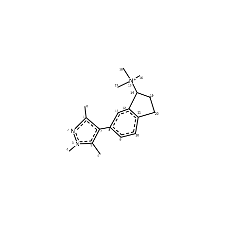 Cc1nn(C)c(C)c1-c1ccc2c(c1)C([N+](C)(C)C)CC2